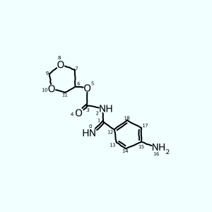 N=C(NC(=O)OC1COCOC1)c1ccc(N)cc1